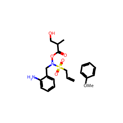 C=CCS(=O)(=O)N(Cc1ccccc1N)OC(=O)C(C)CO.COc1ccccc1